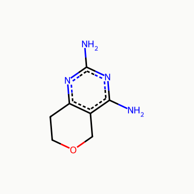 Nc1nc(N)c2c(n1)CCOC2